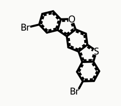 Brc1ccc2oc3cc4sc5ccc(Br)cc5c4cc3c2c1